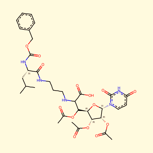 CC(=O)OC(C(NCCCNC(=O)[C@H](CC(C)C)NC(=O)OCc1ccccc1)C(=O)O)[C@H]1O[C@H](n2ccc(=O)[nH]c2=O)[C@H](OC(C)=O)[C@@H]1OC(C)=O